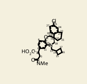 CNC(=O)C[C@H](C(=O)O)c1ccc2c(c1)N(CC1CCC1)C[C@@]1(CCCc3cc(Cl)ccc31)CO2